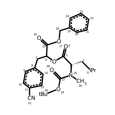 CC(C)C[C@@H](C(=O)OC(Cc1ccc(C#N)cc1)C(=O)OCc1ccccc1)N(C)C(=O)OC(C)(C)C